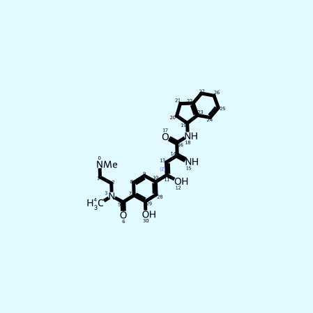 CNCCN(C)C(=O)c1ccc(/C(O)=C/C(=N)C(=O)NC2CCC3=C2C=CCC3)cc1O